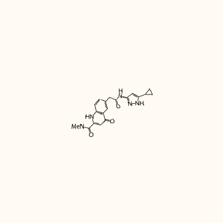 CNC(=O)c1cc(=O)c2cc(CC(=O)Nc3cc(C4CC4)[nH]n3)ccc2[nH]1